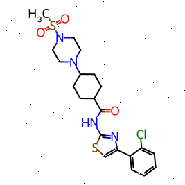 CS(=O)(=O)N1CCN(C2CCC(C(=O)Nc3nc(-c4ccccc4Cl)cs3)CC2)CC1